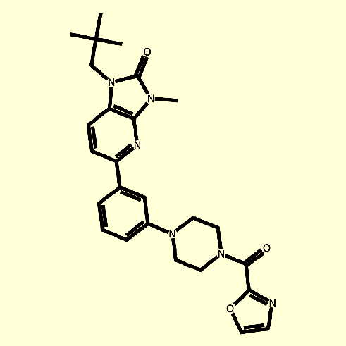 Cn1c(=O)n(CC(C)(C)C)c2ccc(-c3cccc(N4CCN(C(=O)c5ncco5)CC4)c3)nc21